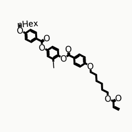 C=CC(=O)OCCCCCCOc1ccc(C(=O)Oc2ccc(OC(=O)c3ccc(OCCCCCC)cc3)cc2I)cc1